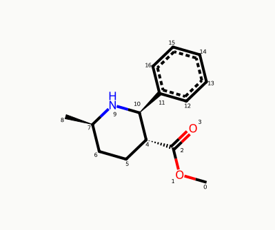 COC(=O)[C@@H]1CC[C@@H](C)N[C@H]1c1ccccc1